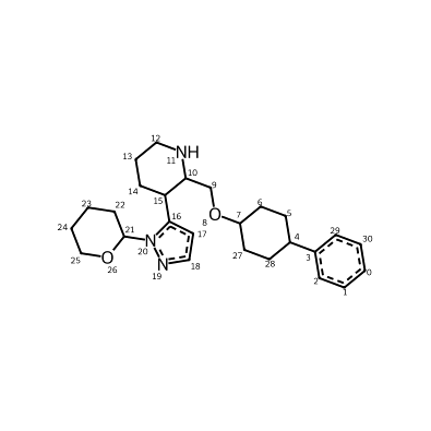 c1ccc(C2CCC(OCC3NCCCC3c3ccnn3C3CCCCO3)CC2)cc1